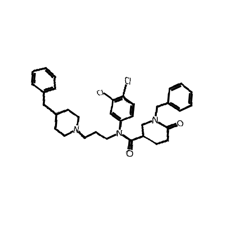 O=C1CCC(C(=O)N(CCCN2CCC(Cc3ccccc3)CC2)c2ccc(Cl)c(Cl)c2)CN1Cc1ccccc1